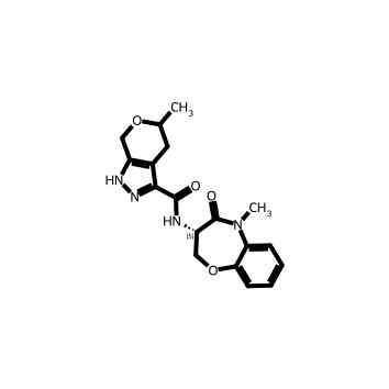 CC1Cc2c(C(=O)N[C@H]3COc4ccccc4N(C)C3=O)n[nH]c2CO1